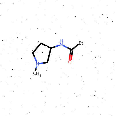 CCC(=O)NC1CCN(C)C1